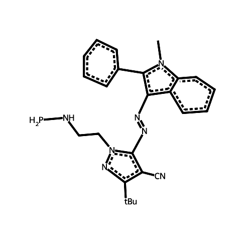 Cn1c(-c2ccccc2)c(/N=N/c2c(C#N)c(C(C)(C)C)nn2CCNP)c2ccccc21